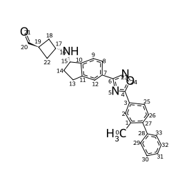 Cc1cc(-c2nc(-c3ccc4c(c3)CC[C@@H]4N[C@H]3C[C@H](C=O)C3)no2)ccc1-c1ccccc1